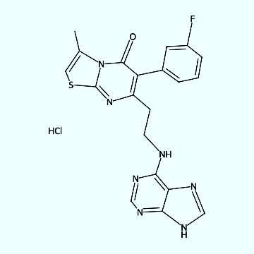 Cc1csc2nc(CCNc3ncnc4[nH]cnc34)c(-c3cccc(F)c3)c(=O)n12.Cl